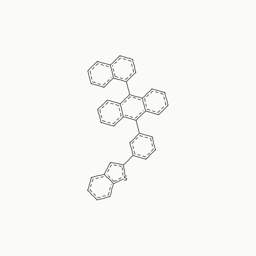 c1cc(-c2cc3ccccc3s2)cc(-c2c3ccccc3c(-c3cccc4ccccc34)c3ccccc23)c1